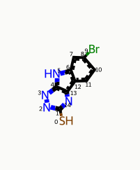 Sc1nnc2[nH]c3cc(Br)ccc3c2n1